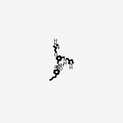 CCCCc1ccc(S(=O)(=O)NCc2cc(CNCC3CCNC3)cc(OCCc3c[nH]cn3)c2)cc1